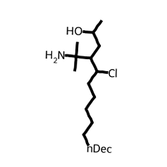 CCCCCCCCCCCCCCCC(Cl)C(CC(C)O)C(C)(C)N